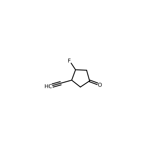 C#CC1CC(=O)CC1F